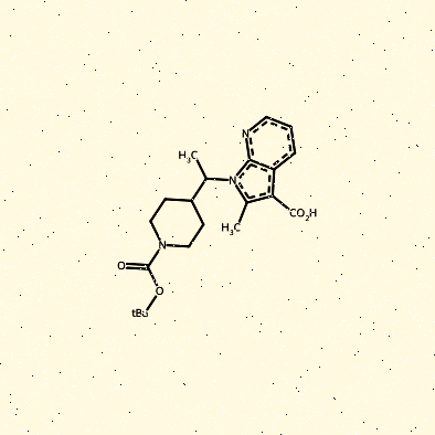 Cc1c(C(=O)O)c2cccnc2n1C(C)C1CCN(C(=O)OC(C)(C)C)CC1